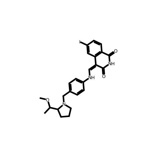 COC(C)C1CCCN1Cc1ccc(N/C=C2\C(=O)NC(=O)c3ccc(I)cc32)cc1